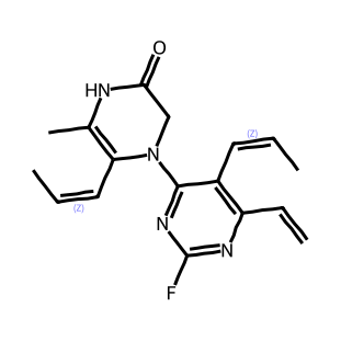 C=Cc1nc(F)nc(N2CC(=O)NC(C)=C2/C=C\C)c1/C=C\C